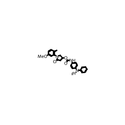 COc1ccc(C)c(N2CC(OC(=O)Nc3ccc(N(c4ccccc4)C(C)C)cc3)CC2=O)c1